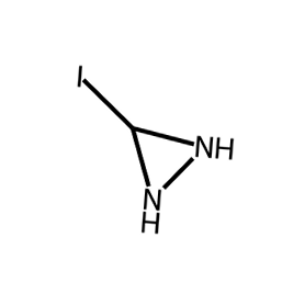 IC1NN1